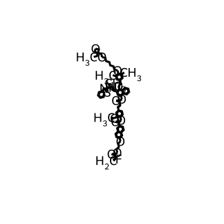 C=C(F)C(=O)OCCCOc1ccc2cc(C(=O)Oc3ccc(/C=C/C(=O)Oc4cc(/C=N/N(C)c5nc6ccccc6s5)c(OCc5cc(C)c(OCCCCCCOCC6(CC)COC6)c(C)c5)c5ccccc45)cc3OC)ccc2c1